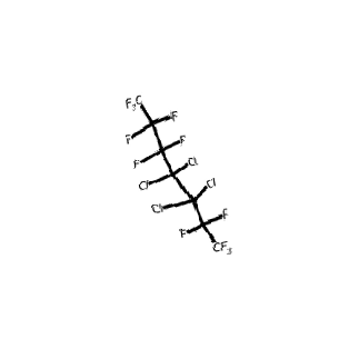 FC(F)(F)C(F)(F)C(F)(F)C(Cl)(Cl)C(Cl)(Cl)C(F)(F)C(F)(F)F